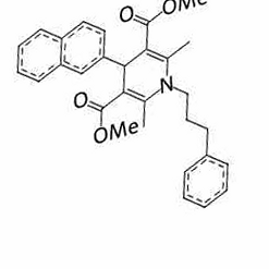 COC(=O)C1=C(C)N(CCCc2ccccc2)C(C)=C(C(=O)OC)C1c1ccc2ccccc2c1